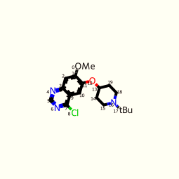 COc1cc2ncnc(Cl)c2cc1OC1CCN(C(C)(C)C)CC1